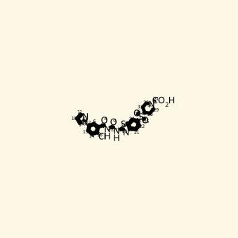 O=C(NC(=O)c1cc(-n2cccn2)ccc1Cl)Nc1nc2ccc(S(=O)(=O)C3CCN(C(=O)O)CC3)cc2s1